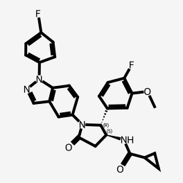 COc1cc([C@@H]2[C@@H](NC(=O)C3CC3)CC(=O)N2c2ccc3c(cnn3-c3ccc(F)cc3)c2)ccc1F